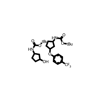 CC(C)(C)OC(=O)NC1CCC(O)C1.CC(C)(C)OC(=O)NC1CCC(Oc2ccc(C(F)(F)F)cc2)C1